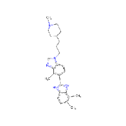 Cc1ccc2[nH]c(-c3ccc4c(ncn4CCCC4CCN(C)CC4)c3C)nc2c1C